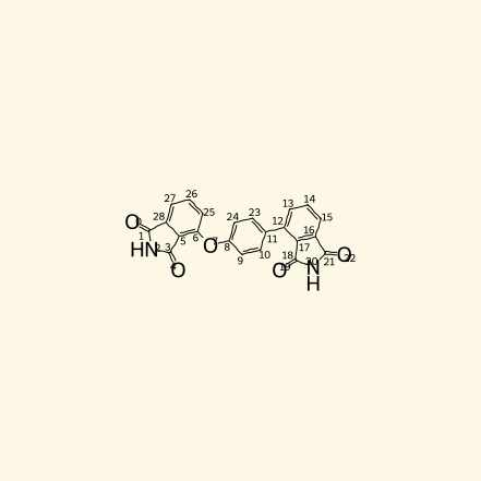 O=C1NC(=O)c2c(Oc3ccc(-c4cccc5c4C(=O)NC5=O)cc3)cccc21